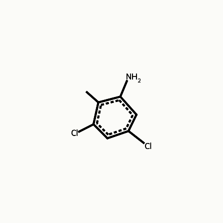 Cc1c(N)cc(Cl)cc1Cl